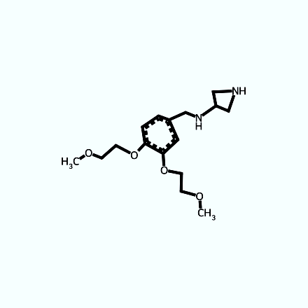 COCCOc1ccc(CNC2CNC2)cc1OCCOC